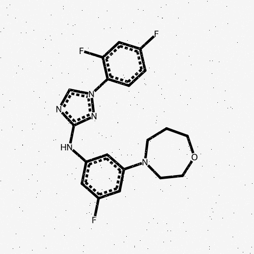 Fc1cc(Nc2ncn(-c3ccc(F)cc3F)n2)cc(N2CCCOCC2)c1